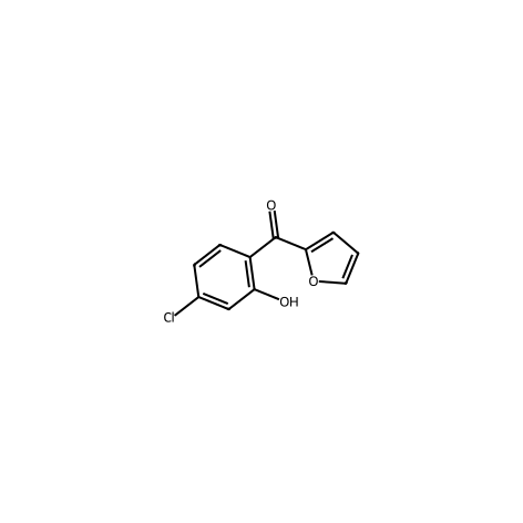 O=C(c1ccco1)c1ccc(Cl)cc1O